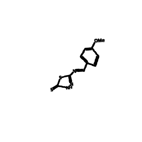 COc1ccc(/C=N/c2n[nH]c(=S)s2)cc1